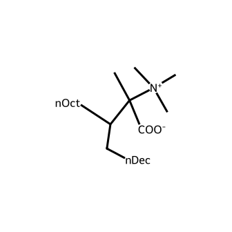 CCCCCCCCCCCC(CCCCCCCC)C(C)(C(=O)[O-])[N+](C)(C)C